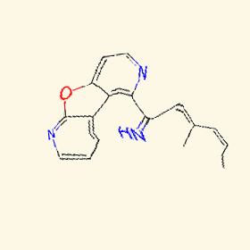 C/C=C\C(C)=C\C(=N)c1nccc2oc3ncccc3c12